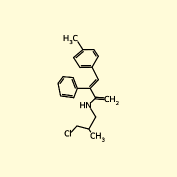 C=C(NCC(C)CCl)/C(=C/c1ccc(C)cc1)c1ccccc1